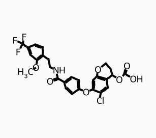 COc1cc(C(F)(F)F)ccc1CCNC(=O)c1ccc(Oc2cc3c(cc2Cl)C(OC(=O)O)CCO3)cc1